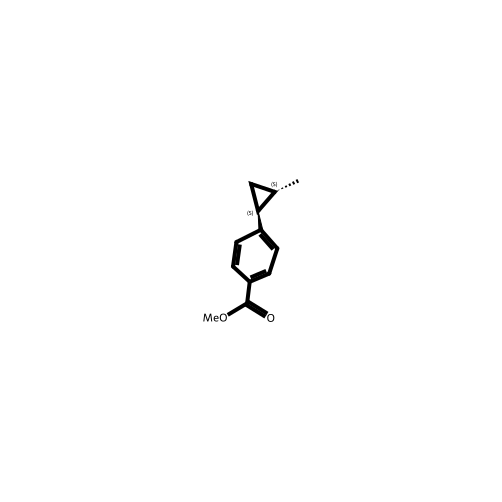 COC(=O)c1ccc([C@H]2C[C@@H]2C)cc1